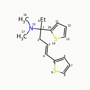 CCC(CC=Cc1cccs1)(c1cccs1)N(C)C